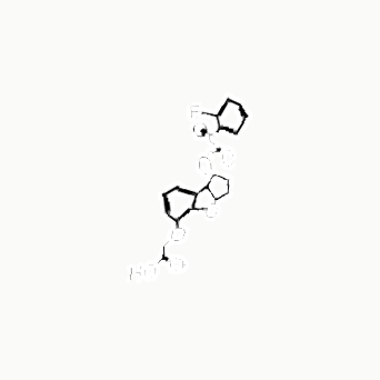 O=C(O)COc1cccc2c1OC1CCC(OS(=O)(=O)c3ccccc3F)C21